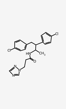 CC(NC(=O)CCn1cncn1)C(Cc1ccc(Cl)cc1)c1ccc(Cl)cc1